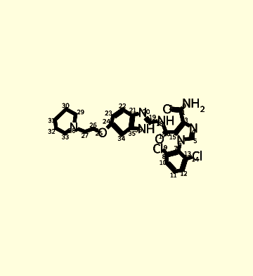 NC(=O)c1ncn(-c2c(Cl)cccc2Cl)c1C(=O)Nc1nc2ccc(OCCN3CCCCC3)cc2[nH]1